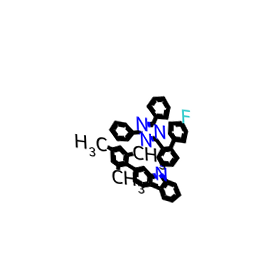 Cc1cc(C)c(-c2ccc3c4ccccc4n(-c4ccc(-c5ccc(F)cc5)c(-c5nc(-c6ccccc6)nc(-c6ccccc6)n5)c4)c3c2)c(C)c1